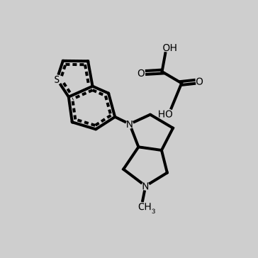 CN1CC2CCN(c3ccc4sccc4c3)C2C1.O=C(O)C(=O)O